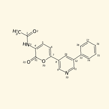 CC(=O)Nc1ccc(-c2cncc(-c3ccccc3)c2)oc1=O